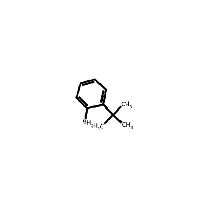 Bc1ccccc1C(C)(C)C